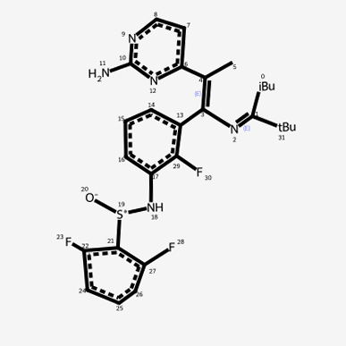 CCC(C)/C(=N\C(=C(/C)c1ccnc(N)n1)c1cccc(N[S+]([O-])c2c(F)cccc2F)c1F)C(C)(C)C